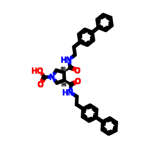 O=C(NCCc1ccc(-c2ccccc2)cc1)[C@H]1CN(C(=O)O)C[C@@H]1C(=O)NCCc1ccc(-c2ccccc2)cc1